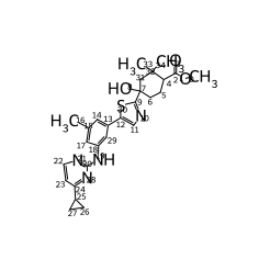 COC(=O)C1CCC(O)(c2ncc(-c3cc(C)cc(Nc4nccc(C5CC5)n4)c3)s2)CC1(C)C